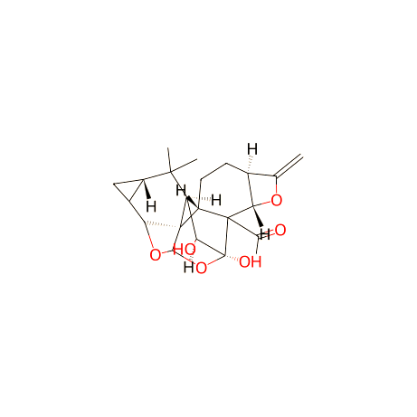 C=C1O[C@H]2[C@H]1CC[C@@H]1C2(C(C)=O)[C@@]2(O)OC3OC4C5C[C@@H]5C(C)(C)[C@@H]([C@@H]2O)[C@@]341